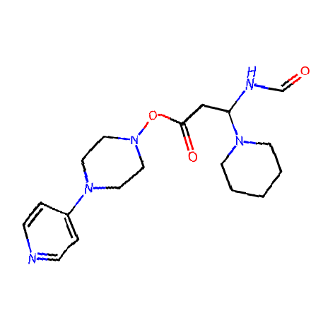 O=CNC(CC(=O)ON1CCN(c2ccncc2)CC1)N1CCCCC1